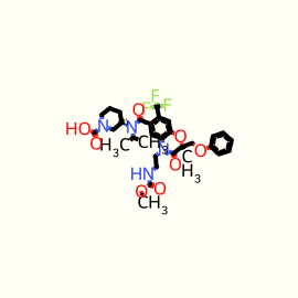 COC(=O)NCCN1C(=O)C(C)(COc2ccccc2)Oc2cc(C(F)(F)F)c(C(=O)N(C(C)C)[C@@H]3CCCN(C(=O)O)C3)cc21